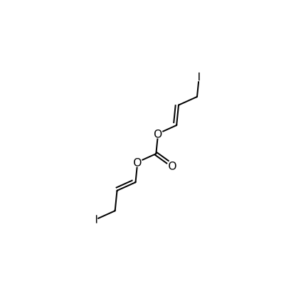 O=C(OC=CCI)OC=CCI